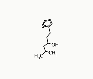 CC(C)CC(O)CCc1cccs1